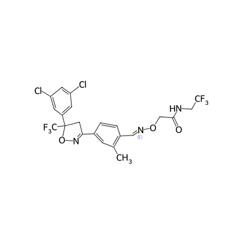 Cc1cc(C2=NOC(c3cc(Cl)cc(Cl)c3)(C(F)(F)F)C2)ccc1/C=N/OCC(=O)NCC(F)(F)F